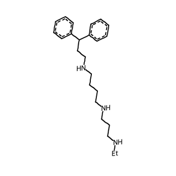 CCNCCCNCCCCNCCC(c1ccccc1)c1ccccc1